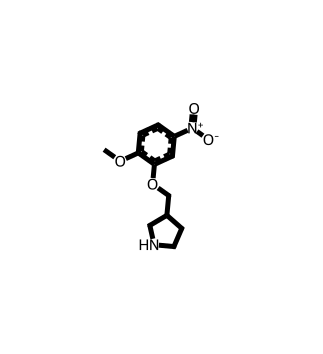 COc1ccc([N+](=O)[O-])cc1OCC1CCNC1